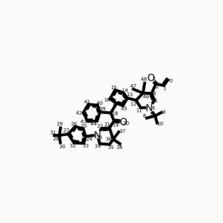 C=CC(=O)C1=CN(C(C)(C)C)CC(c2cccc(C(C(=O)C3=CN(c4ccc(C(C)(C)C)cc4)CCC3(C)C)c3ccccc3)c2)C1(C)C